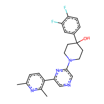 Cc1ccc(-c2cncc(N3CCC(O)(c4ccc(F)c(F)c4)CC3)n2)c(C)n1